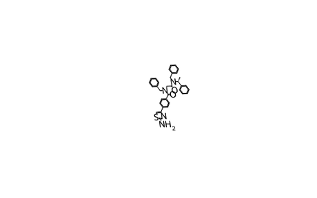 C[C@@H](c1ccccc1)N(Cc1ccccc1)C(=O)CN(Cc1ccccc1)C(=O)c1ccc(-c2csc(N)n2)cc1